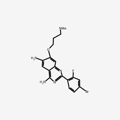 CNCCCOc1cc2nc(-c3ccc(Br)cc3F)nc(N)c2cc1N